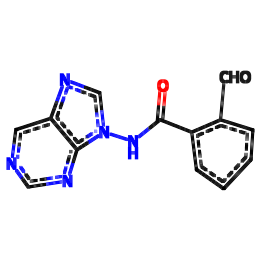 O=Cc1ccccc1C(=O)Nn1cnc2cncnc21